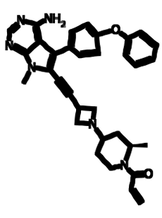 C=CC(=O)N1CCC(N2CC(C#Cc3c(-c4ccc(Oc5ccccc5)cc4)c4c(N)ncnc4n3C)C2)C[C@H]1C